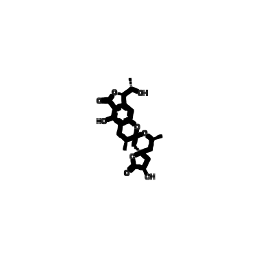 C[C@H](O)[C@H]1OC(=O)c2c1cc1c(c2O)C[C@H](C)C2(C[C@@]3(C[C@@H](O)C(=O)O3)C[C@H](C)O2)O1